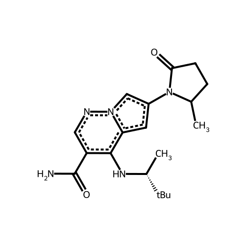 CC1CCC(=O)N1c1cc2c(N[C@H](C)C(C)(C)C)c(C(N)=O)cnn2c1